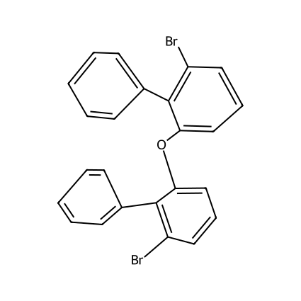 Brc1cccc(Oc2cccc(Br)c2-c2ccccc2)c1-c1ccccc1